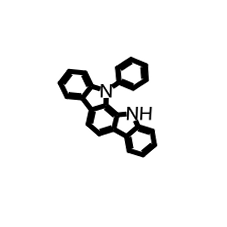 c1ccc(-n2c3ccccc3c3ccc4c5ccccc5[nH]c4c32)cc1